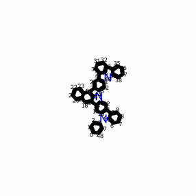 c1ccc(-n2c3ccccc3c3cc4c(cc32)c2cc3ccccc3c3c5cc6c7cccc8c9ccccc9n(c6cc5n4c23)c87)cc1